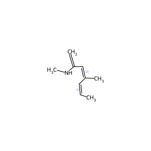 C=C(/C=C(C)\C=C/C)NC